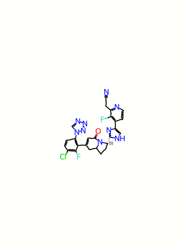 N#CCc1nccc(-c2c[nH]c([C@@H]3CCC4CC(c5c(-n6cnnn6)ccc(Cl)c5F)=CC(=O)N43)n2)c1F